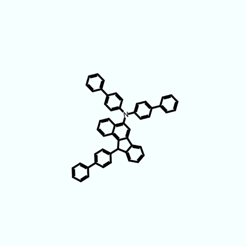 c1ccc(-c2ccc(C3c4ccccc4-c4cc(N(c5ccc(-c6ccccc6)cc5)c5ccc(-c6ccccc6)cc5)c5ccccc5c43)cc2)cc1